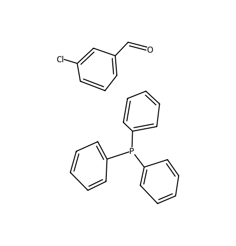 O=Cc1cccc(Cl)c1.c1ccc(P(c2ccccc2)c2ccccc2)cc1